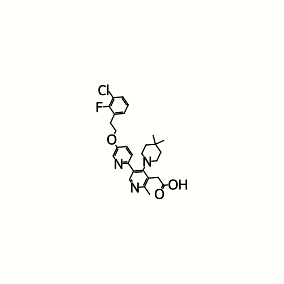 Cc1ncc(-c2ccc(OCCc3cccc(Cl)c3F)cn2)c(N2CCC(C)(C)CC2)c1CC(=O)O